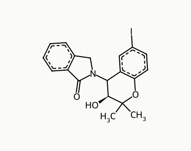 CC1(C)Oc2ccc(I)cc2C(N2Cc3ccccc3C2=O)[C@@H]1O